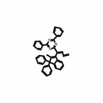 C=C/C=C(\C1=C(C)C(c2ccccc2)(c2ccccc2)c2ccccc21)c1nc(-c2ccccc2)nc(-c2ccccc2)n1